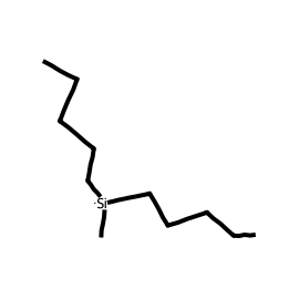 CCCCC[Si](C)CCCCC